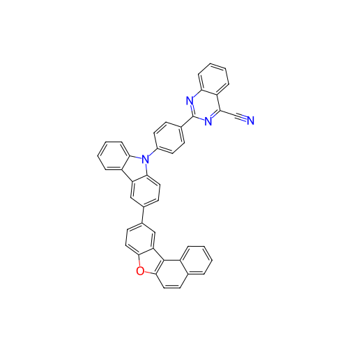 N#Cc1nc(-c2ccc(-n3c4ccccc4c4cc(-c5ccc6oc7ccc8ccccc8c7c6c5)ccc43)cc2)nc2ccccc12